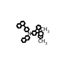 CC1CC2CC(C)C3(c4ccccc4-c4cc(N(c5ccc(-c6cccc7ccccc67)cc5)c5ccc6ccccc6c5)ccc43)C(C1)C2